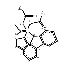 C[Si](C)=[Ti]([O]C(=O)C(C)(C)C)([O]C(=O)C(C)(C)C)([C]1=CC=CC1)[CH]1c2ccccc2-c2ccccc21